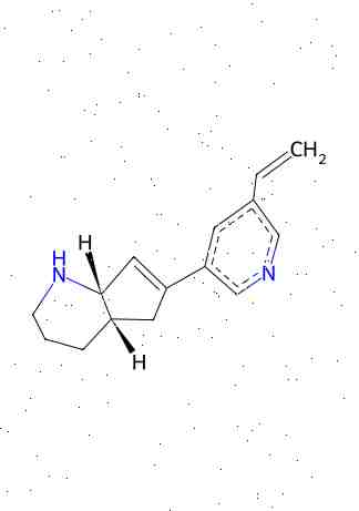 C=Cc1cncc(C2=C[C@H]3NCCC[C@H]3C2)c1